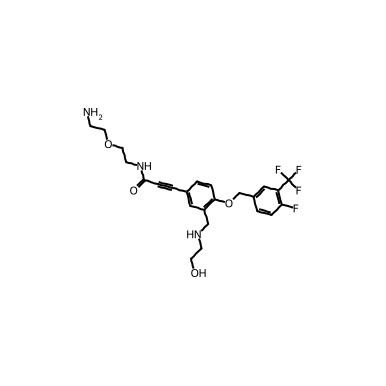 NCCOCCNC(=O)C#Cc1ccc(OCc2ccc(F)c(C(F)(F)F)c2)c(CNCCO)c1